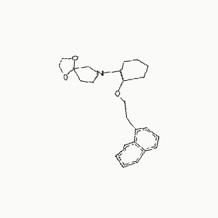 c1ccc2c(CCOC3CCCCC3N3CCC4(C3)OCCO4)cccc2c1